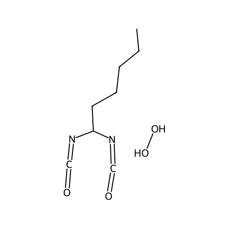 CCCCCC(N=C=O)N=C=O.OO